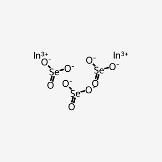 O=[Se]([O-])[O-].O=[Se]([O-])[O-].O=[Se]([O-])[O-].[In+3].[In+3]